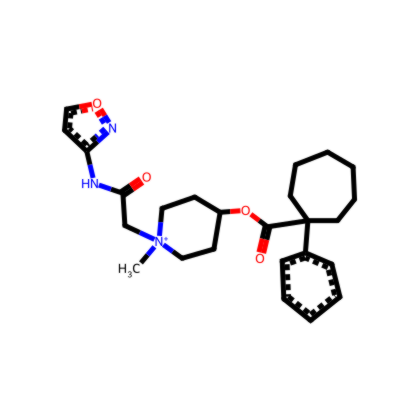 C[N+]1(CC(=O)Nc2ccon2)CCC(OC(=O)C2(c3ccccc3)CCCCCC2)CC1